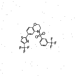 O=S(=O)(c1cccc(C(F)(F)F)c1)N1CCOc2ccc(-c3nc(C(F)(F)F)cs3)cc21